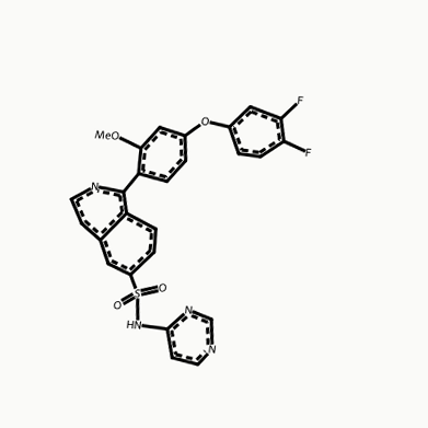 COc1cc(Oc2ccc(F)c(F)c2)ccc1-c1nccc2cc(S(=O)(=O)Nc3ccncn3)ccc12